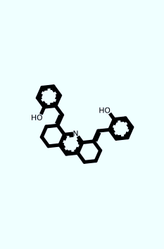 Oc1ccccc1C=C1CCCc2cc3c(nc21)C(=Cc1ccccc1O)CCC3